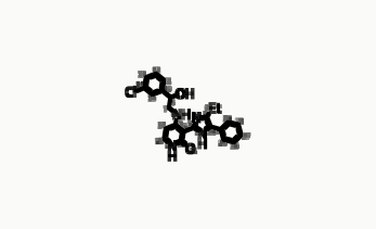 CCc1nc(-c2c(NCC(O)c3cccc(Cl)c3)cc[nH]c2=O)[nH]c1-c1ccccc1